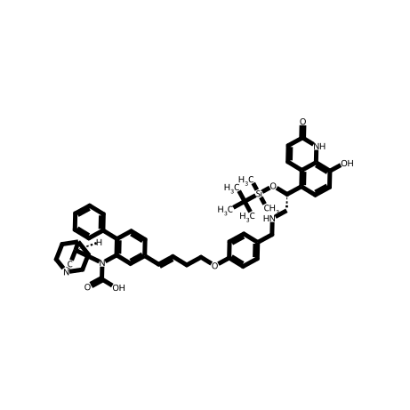 CC(C)(C)[Si](C)(C)O[C@@H](CNCc1ccc(OCC/C=C/c2ccc(-c3ccccc3)c(N(C(=O)O)[C@H]3CN4CCC3CC4)c2)cc1)c1ccc(O)c2[nH]c(=O)ccc12